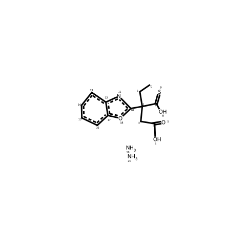 CCC(CC(=O)O)(C(O)=S)c1nc2ccccc2o1.N.N